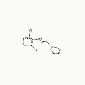 Fc1cccc(Cl)c1NOCc1ccccc1